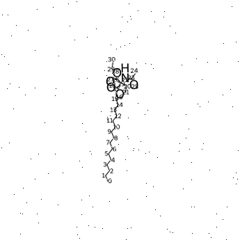 CCCCCCCCCCCCCCCCOC(=O)C(CC)(NC(C)=O)C(=O)OCC